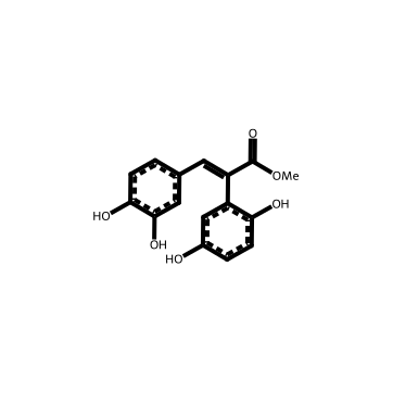 COC(=O)C(=Cc1ccc(O)c(O)c1)c1cc(O)ccc1O